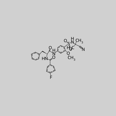 COc1cc(NC(=O)[C@H](Cc2ccccc2)NC(=O)c2ccc(F)cc2)ccc1S(=O)(=O)NC(C)(C)C#N